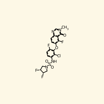 Cn1cnc2ccc(Oc3c(F)ccc(NS(=O)(=O)N4C[C@@H](F)[C@@H](F)C4)c3Cl)c(F)c2c1=O